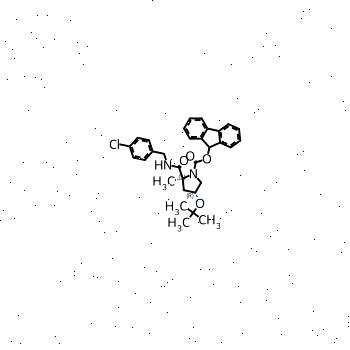 CC(C)(C)O[C@H]1CN(C(=O)OC2c3ccccc3-c3ccccc32)[C@](C)(C(=O)NCc2ccc(Cl)cc2)C1